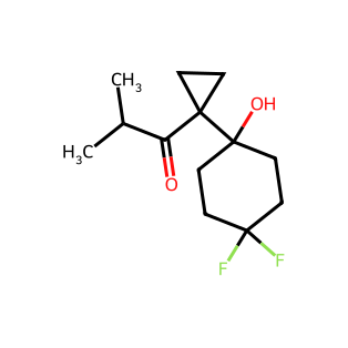 CC(C)C(=O)C1(C2(O)CCC(F)(F)CC2)CC1